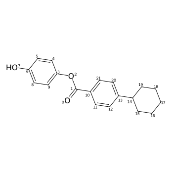 O=C(Oc1ccc(O)cc1)c1ccc(C2CCCCC2)cc1